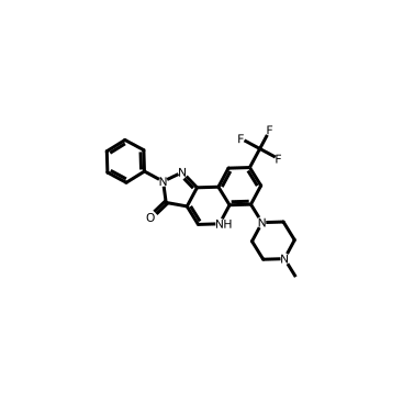 CN1CCN(c2cc(C(F)(F)F)cc3c4nn(-c5ccccc5)c(=O)c-4c[nH]c23)CC1